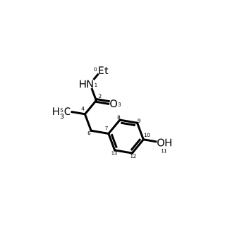 CCNC(=O)C(C)Cc1ccc(O)cc1